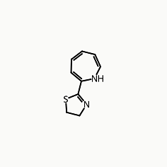 C1=CC=C(C2=NCCS2)NC=C1